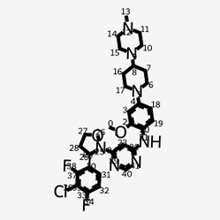 COc1cc(N2CCC(N3CCN(C)CC3)CC2)ccc1Nc1cc(N2OCC[C@@H]2c2ccc(F)c(Cl)c2F)ncn1